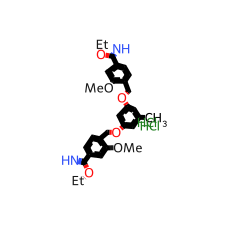 CCOC(=N)c1ccc(COc2cc(C)cc(OCc3ccc(C(=N)OCC)cc3OC)c2)c(OC)c1.Cl.Cl